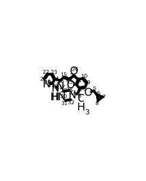 CC(c1c(OCC2CC2)ccc2c1O/C(=C\c1n[nH]c3ncccc13)C2=O)N1CCNCC1